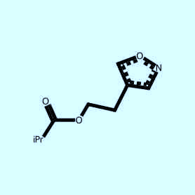 CC(C)C(=O)OCCc1cnoc1